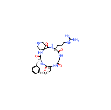 N=C(N)NCCC[C@@H]1NC(=O)C2(CCNCC2)NC(=O)[C@@H](Cc2ccccc2)NC(=O)[C@H](CC(=O)O)NC(=O)CNC1=O